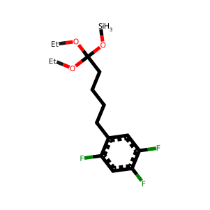 CCOC(CCCCc1cc(F)c(F)cc1F)(O[SiH3])OCC